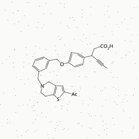 CC#CC(CC(=O)O)c1ccc(OCc2cccc(CN3CCc4sc(C(C)=O)cc4C3)c2)cc1